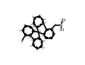 CCN(CC)Cc1cccc2c1-c1ccccc1C21c2ccccc2-c2c(C)cccc21